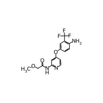 COCC(=O)Nc1cc(Oc2ccc(N)c(C(F)(F)F)c2)ccn1